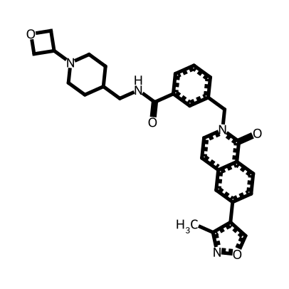 Cc1nocc1-c1ccc2c(=O)n(Cc3cccc(C(=O)NCC4CCN(C5COC5)CC4)c3)ccc2c1